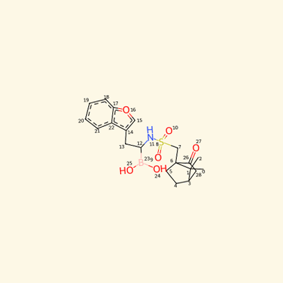 CC1(C)C2CCC1(CS(=O)(=O)NC(Cc1coc3ccccc13)B(O)O)C(=O)C2